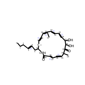 CCC/C=C/CC1C/C=C/C=C(C)/C=C/C=C\C(O)C(O)C(=O)C(C)/C=C/C=C/C(=O)N1